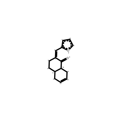 O=C1/C(=C\c2ccco2)CCC2CC=CCC12